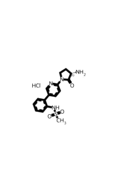 CS(=O)(=O)Nc1ccccc1-c1ccc(N2CC[C@H](N)C2=O)nc1.Cl